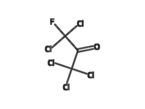 O=C(C(F)(Cl)Cl)C(Cl)(Cl)Cl